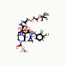 CC(C)(C)OC(=O)N1CC2CC(c3cnc(COCCO[Si](C)(C)C(C)(C)C)s3)=C(C(=O)N(Cc3cccc(Cl)c3Cl)C3CC3)C(C1)N2C(=O)OC(C)(C)C